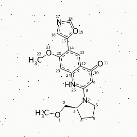 COC[C@@H]1CCCN1c1cc(=O)c2cc(-c3cnco3)c(OC)cc2[nH]1